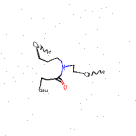 COCCN(CCOC)C(=O)CC(C)(C)C